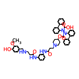 COc1cc(CNCCC(=O)Nc2cccc(NC(=O)CCN3CCC(OC(=O)N(c4ccccc4-c4ccccc4)N(C(=O)O)c4ccccc4-c4ccccc4)CC3)c2)ccc1O